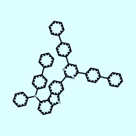 c1ccc(-c2ccc(-c3cc(-c4ccc(-c5ccccc5)cc4)nc(-c4ccc5c(c4)oc4cccc(N(c6ccccc6)c6ccc(-c7ccccc7)cc6)c45)n3)cc2)cc1